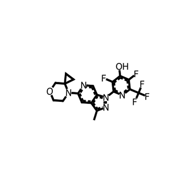 Cc1nn(-c2nc(C(F)(F)F)c(F)c(O)c2F)c2cnc(N3CCOCC34CC4)cc12